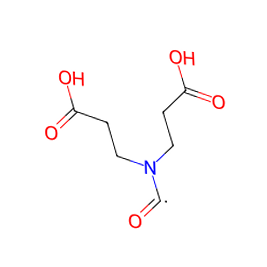 O=[C]N(CCC(=O)O)CCC(=O)O